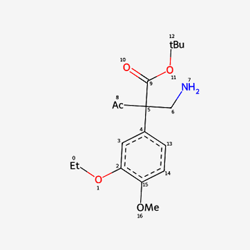 CCOc1cc(C(CN)(C(C)=O)C(=O)OC(C)(C)C)ccc1OC